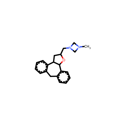 CN1CN(CC2CC3c4ccccc4Cc4ccccc4C3O2)C1